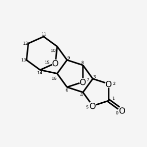 O=C1OC2C(O1)C1OC2C2C3CCCC(O3)C12